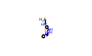 CCCCNc1ccc(NC(=O)Nc2ccn(-c3ccccc3)n2)cc1